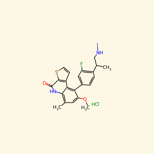 COc1cc(C)c2[nH]c(=O)c3sccc3c2c1-c1ccc(C(C)CNI)c(F)c1.Cl